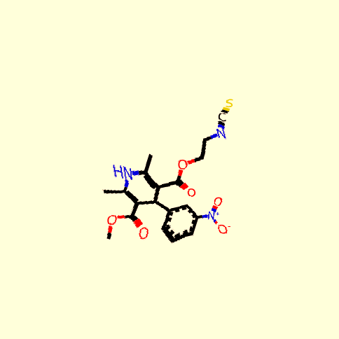 COC(=O)C1=C(C)NC(C)=C(C(=O)OCCN=C=S)C1c1cccc([N+](=O)[O-])c1